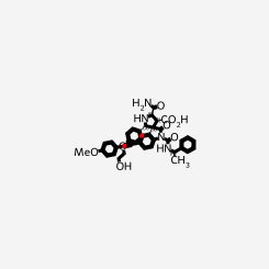 COc1ccc(C#Cc2ccc3c(c2)[C@]2(C(=O)N3C(=O)N[C@H](C)c3ccccc3)[C@H](c3ccc(OCCO)cc3)N[C@@H](C(N)=O)[C@@H]2C(=O)O)cc1